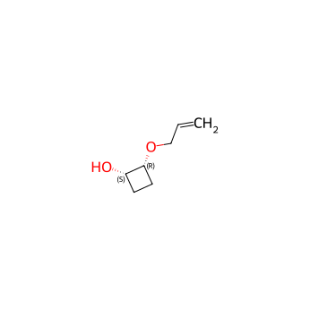 C=CCO[C@@H]1CC[C@@H]1O